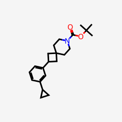 CC(C)(C)OC(=O)N1CCC2(CC1)CC(c1cccc(C3CC3)c1)C2